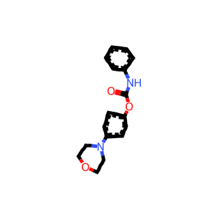 O=C(Nc1ccccc1)Oc1ccc(N2CCOCC2)cc1